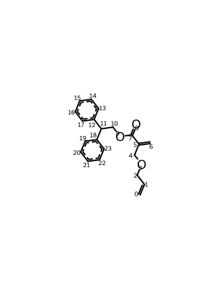 C=CCOCC(=C)C(=O)OCC(c1ccccc1)c1ccccc1